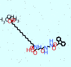 CC(C)(C)OC(=O)CCCCCCCCCCCCCCCCC(=O)N[C@@H](CCC(=O)CNCCNC(=O)OCC1c2ccccc2-c2ccccc21)C(=O)O